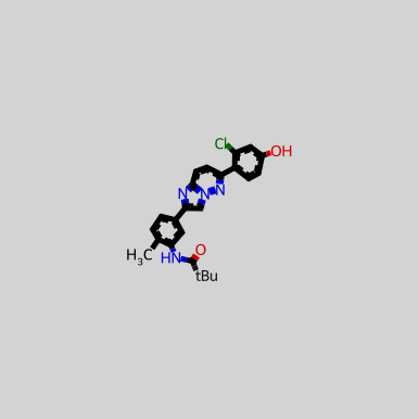 Cc1ccc(-c2cn3nc(-c4ccc(O)cc4Cl)ccc3n2)cc1NC(=O)C(C)(C)C